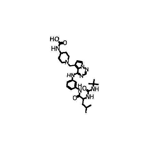 CC(C)CC(NC(=O)NC(C)(C)C)C(=O)Nc1cccc(Nc2ncnn3ccc(CN4CCC(NC(=O)O)CC4)c23)c1